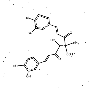 NC(C(=O)O)(C(=O)C=Cc1ccc(O)c(O)c1)C(O)C(=O)C=Cc1ccc(O)c(O)c1